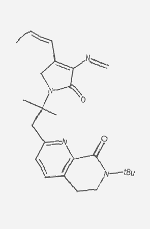 C=NC1=C(/C=C\C)CN(C(C)(C)Cc2ccc3c(n2)C(=O)N(C(C)(C)C)CC3)C1=O